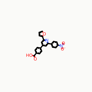 O=C(O)c1ccc(-c2cc(-c3ccc([N+](=O)[O-])cc3)nc(-c3ccco3)c2)cc1